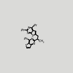 CC(C)c1nc(C(C)C)c2cc(CC(C)c3nc(C(C)C)c4sccc4n3)sc2n1